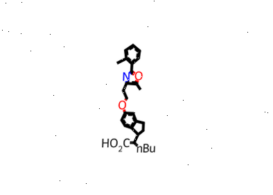 CCCCC(C(=O)O)C1CCc2cc(OCCc3nc(-c4ccccc4C)oc3C)ccc21